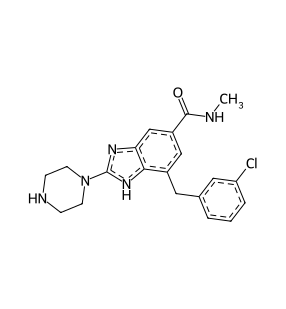 CNC(=O)c1cc(Cc2cccc(Cl)c2)c2[nH]c(N3CCNCC3)nc2c1